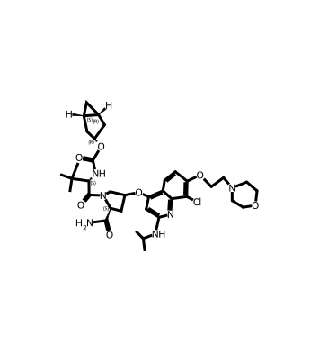 CC(C)Nc1cc(OC2C[C@@H](C(N)=O)N(C(=O)[C@@H](NC(=O)O[C@@H]3C[C@@H]4C[C@@H]4C3)C(C)(C)C)C2)c2ccc(OCCN3CCOCC3)c(Cl)c2n1